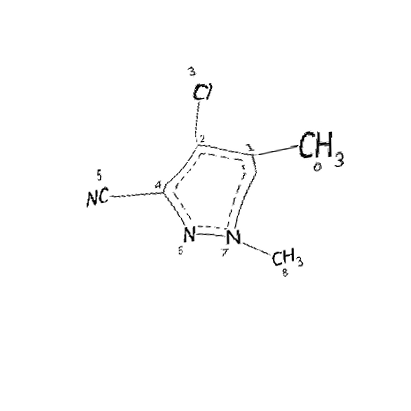 Cc1c(Cl)c(C#N)nn1C